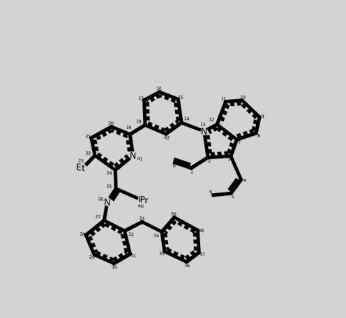 C=Cc1c(/C=C\C)c2ccccc2n1-c1cccc(-c2ccc(CC)c(/C(=N/c3ccccc3Cc3ccccc3)C(C)C)n2)c1